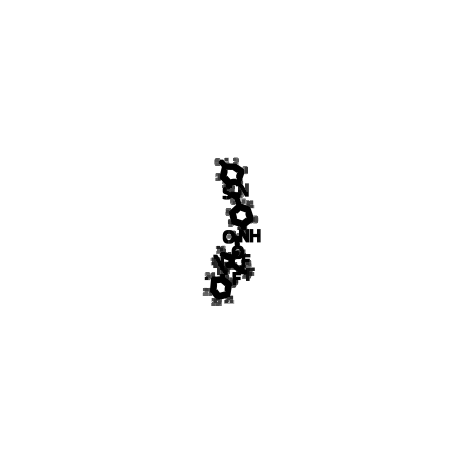 Cc1ccc2nc(-c3ccc(NC(=O)Oc4cnn(-c5ccccc5)c4C(F)(F)F)cc3)sc2c1